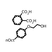 CCCCCCCCc1ccc(OCCO)cc1.O=C(O)c1ccccc1C(=O)O